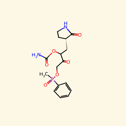 CP(=O)(OCC(=O)C(C[C@@H]1CCNC1=O)OC(N)=O)c1ccccc1